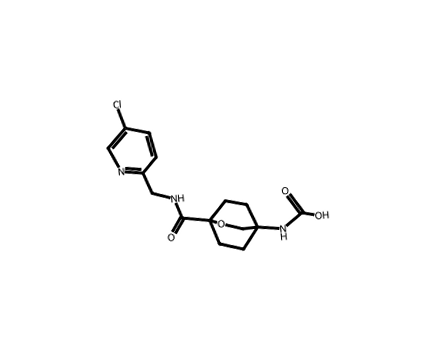 O=C(O)NC12CCC(C(=O)NCc3ccc(Cl)cn3)(CC1)OC2